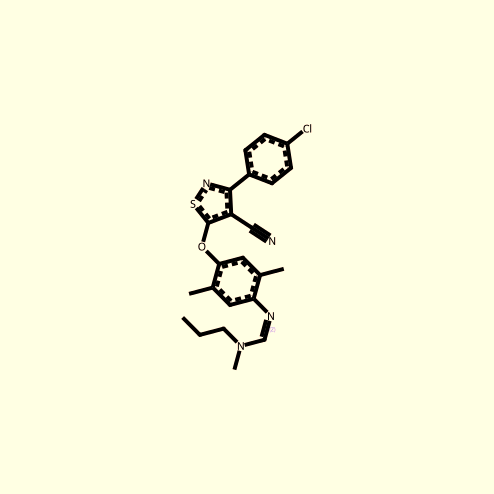 CCCN(C)/C=N\c1cc(C)c(Oc2snc(-c3ccc(Cl)cc3)c2C#N)cc1C